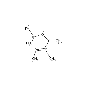 [CH2]C(C)C(C)OC(C)C(C)=CC